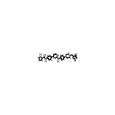 Cn1cc(Cl)c(CN2CCN(c3ccc(Nc4nccc(-c5ccc(NC(=O)[C@H]6CCCN6)cc5)n4)cc3)CC2)n1